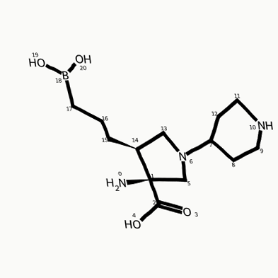 N[C@]1(C(=O)O)CN(C2CCNCC2)C[C@@H]1CCCB(O)O